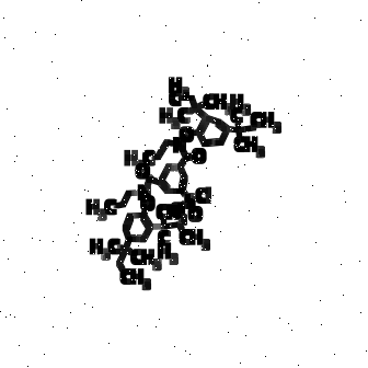 CCCN(Oc1ccc(C(C)(C)CC)cc1C(C)(C)CC)C(=O)c1cc(C(=O)N(CCC)Oc2ccc(C(C)(C)CC)cc2C(C)(C)CC)cc(S(=O)(=O)Cl)c1